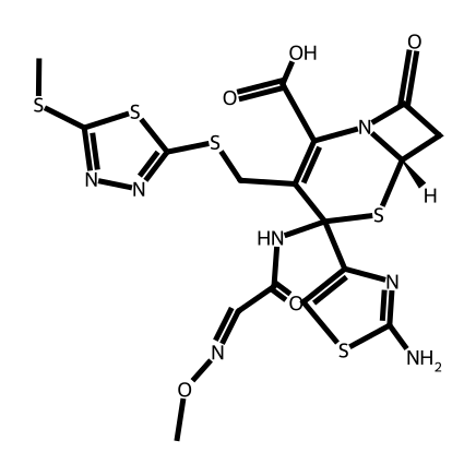 CON=CC(=O)NC1(c2csc(N)n2)S[C@H]2CC(=O)N2C(C(=O)O)=C1CSc1nnc(SC)s1